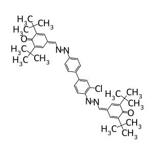 CC(C)(C)C1=CC(=C/N=N/c2ccc(-c3ccc(/N=N/C=C4C=C(C(C)(C)C)C(=O)C(C(C)(C)C)=C4)c(Cl)c3)cc2)C=C(C(C)(C)C)C1=O